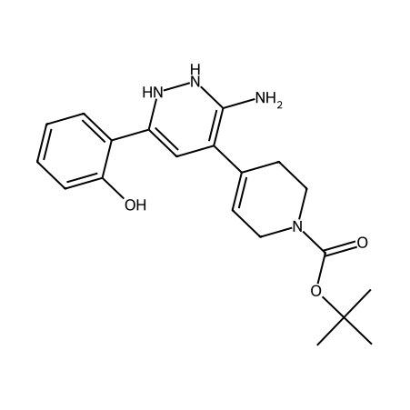 CC(C)(C)OC(=O)N1CC=C(C2=C(N)NNC(c3ccccc3O)=C2)CC1